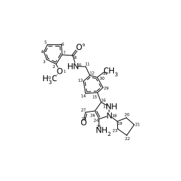 COc1ccccc1C(=O)NCc1ccc(C2NN(C3CCCC3)C(N)=C2C=O)cc1C